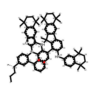 CCC[C@H](C)c1ccc(N2c3cc(C)cc(-c4c(Nc5ccc6c(c5)C(C)(C)CCC6(C)C)ccc5c4C(C)(C)c4cc6c(cc4-5)C(C)(C)CCC6(C)C)c3Bc3c2oc2cc4c(cc32)C(C)(C)CCC4(C)C)c(-c2ccccc2)c1